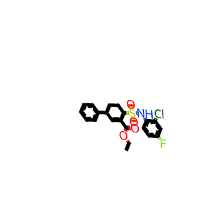 CCOC(=O)C1=CC(c2ccccc2)CCC1S(=O)(=O)Nc1ccc(F)cc1Cl